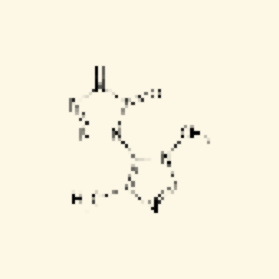 Cc1ncn(C)c1-n1nn[nH]c1=O